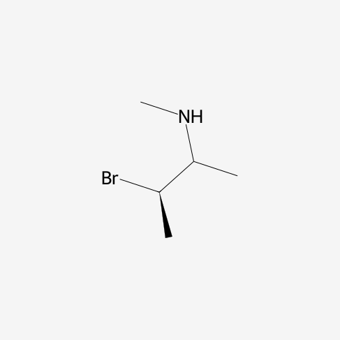 CNC(C)[C@@H](C)Br